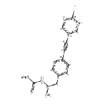 COC(=O)NC(C)Cc1ccc(C#Cc2cnc(Cl)nc2)cc1